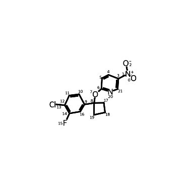 O=[N+]([O-])c1ccc(OC2(c3ccc(Cl)c(F)c3)CCC2)nc1